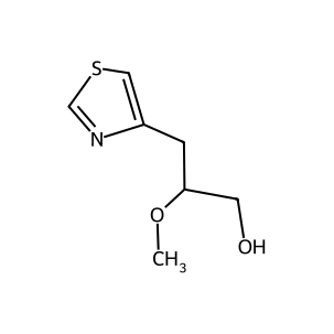 COC(CO)Cc1cscn1